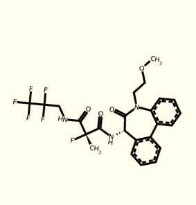 COCCN1C(=O)[C@@H](NC(=O)[C@](C)(F)C(=O)NCC(F)(F)C(F)(F)F)c2ccccc2-c2ccccc21